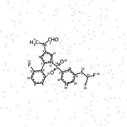 CN(C=O)c1cc(-c2ccccc2F)n(S(=O)(=O)c2cncc(SC(F)F)c2)c1